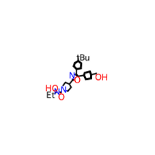 CCN(O)C(=O)N1CCC(c2nc(-c3ccc(C(C)(C)C)cc3)c(-c3ccc(CO)cc3)o2)CC1